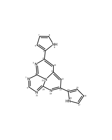 C1=NC2=NC(c3ccc[nH]3)=CC3=CC(c4ccc[nH]4)=NC(=N1)N32